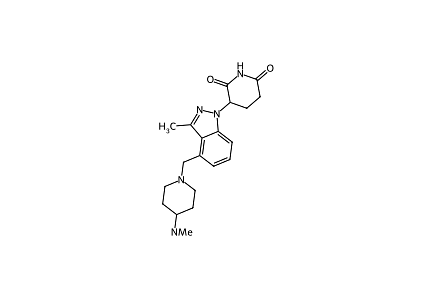 CNC1CCN(Cc2cccc3c2c(C)nn3C2CCC(=O)NC2=O)CC1